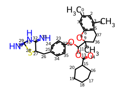 Cc1cc(C)c2c(c1)OC(C)(C(OC(=O)C1CCCCC1)Oc1ccc(CC3SC(=N)NC3=N)cc1)CC2